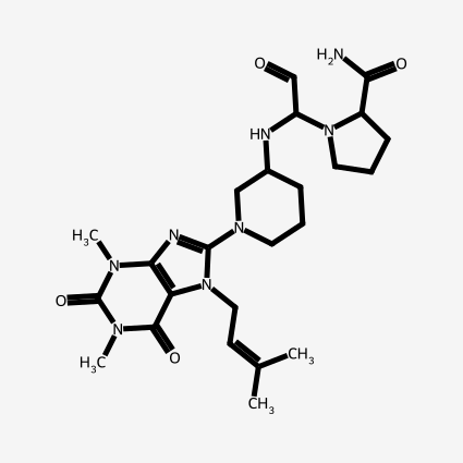 CC(C)=CCn1c(N2CCCC(NC(C=O)N3CCCC3C(N)=O)C2)nc2c1c(=O)n(C)c(=O)n2C